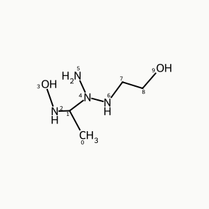 CC(NO)N(N)NCCO